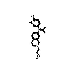 COCCN1CCc2ccc(N(c3ccc(=O)n(C)c3)C(C)C)cc2C1